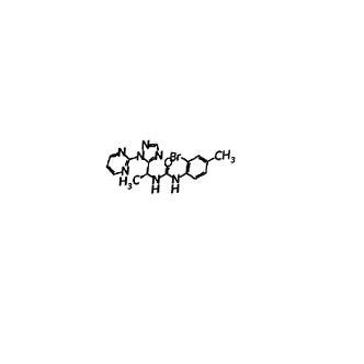 Cc1ccc(NC(=O)N[C@@H](C)c2ncnn2-c2ncccn2)c(Br)c1